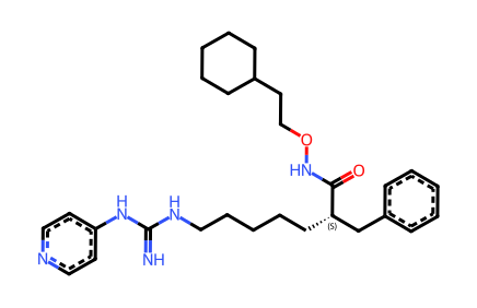 N=C(NCCCCC[C@@H](Cc1ccccc1)C(=O)NOCCC1CCCCC1)Nc1ccncc1